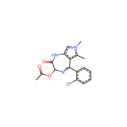 CC(=O)OC1N=C(c2ccccc2Cl)c2c(cn(C)c2C)NC1=O